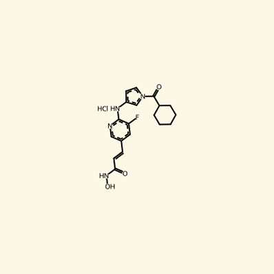 Cl.O=C(C=Cc1cnc(Nc2ccn(C(=O)C3CCCCC3)c2)c(F)c1)NO